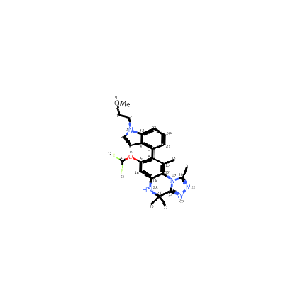 COCCn1ccc2c(-c3c(OC(F)F)cc4c(c3C)-n3c(C)nnc3C(C)(C)N4)cccc21